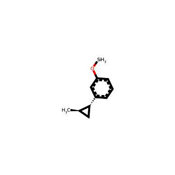 C[C@@H]1C[C@H]1c1cccc(O[SiH3])c1